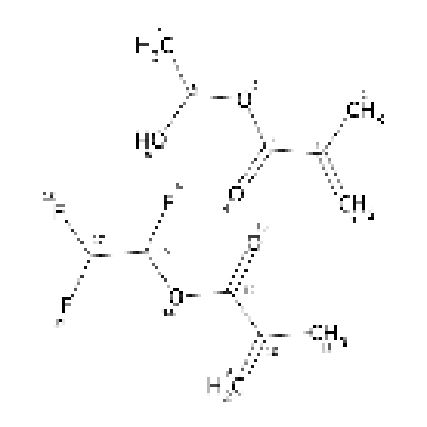 C=C(C)C(=O)OC(C)O.C=C(C)C(=O)OC(F)C(F)F